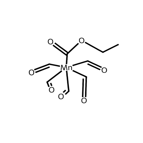 CCO[C](=O)[Mn]([CH]=O)([CH]=O)([CH]=O)([CH]=O)[CH]=O